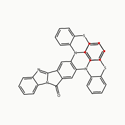 O=C1c2cc(N3c4ccccc4Sc4ccccc43)c(N3c4ccccc4Sc4ccccc43)cc2-c2nc3ccccc3n21